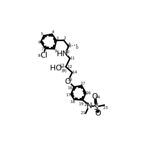 C[C@@H](Cc1cccc(Cl)c1)NC[C@@H](O)COc1ccc(N(C)S(C)(=O)=O)cc1